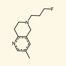 Cc1cnc2c(c1)CN(CCCF)CC2